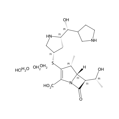 C[C@@H](O)[C@H]1C(=O)N2C(C(=O)O)=C(S[C@@H]3CN[C@H]([C@H](O)C4CCNC4)C3)[C@H](C)[C@H]12.Cl.O.O.O